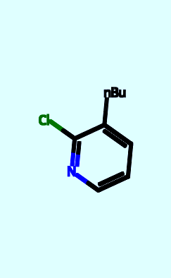 [CH2]CCCc1cccnc1Cl